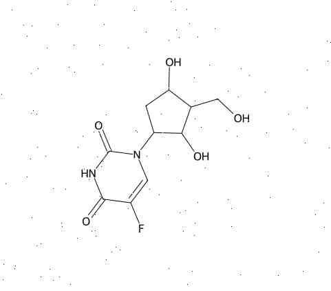 O=c1[nH]c(=O)n(C2CC(O)C(CO)C2O)cc1F